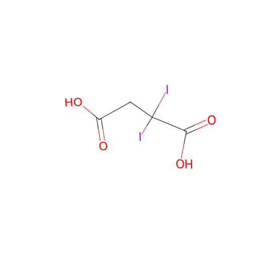 O=C(O)CC(I)(I)C(=O)O